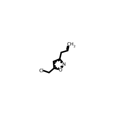 C=CCc1cc(CCl)on1